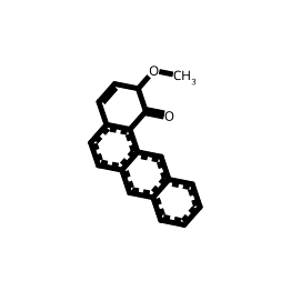 COC1C=Cc2ccc3cc4ccccc4cc3c2C1=O